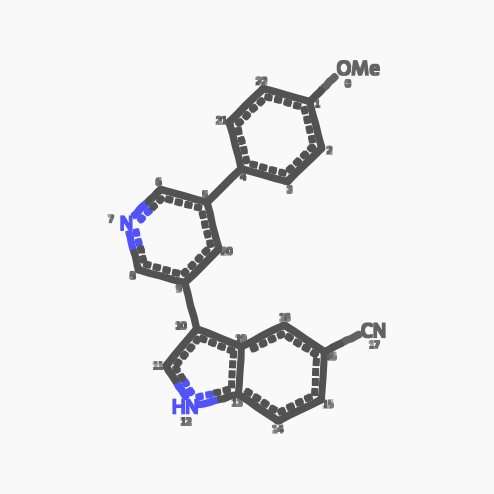 COc1ccc(-c2cncc(-c3c[nH]c4ccc(C#N)cc34)c2)cc1